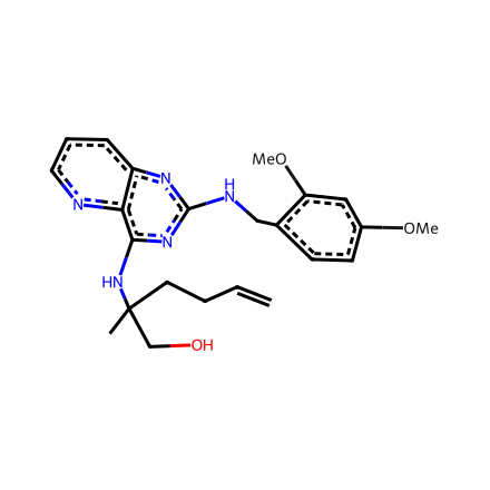 C=CCCC(C)(CO)Nc1nc(NCc2ccc(OC)cc2OC)nc2cccnc12